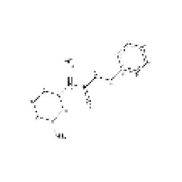 Cl.N[C@@H]1CCC[C@H](NC(=O)OCc2ccccc2)C1